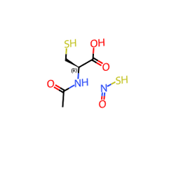 CC(=O)N[C@@H](CS)C(=O)O.O=NS